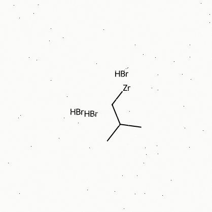 Br.Br.Br.CC(C)[CH2][Zr]